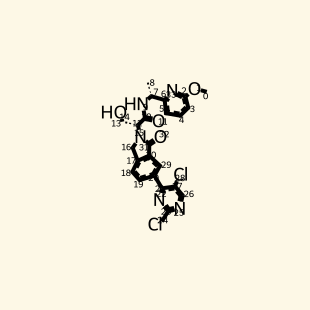 COc1cccc([C@@H](C)NC(=O)[C@@H](CO)N2Cc3ccc(-c4nc(Cl)ncc4Cl)cc3C2=O)n1